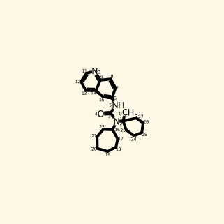 CC1(N(C(=O)Nc2ccc3ncccc3c2)C2CCCCCC2)CCCCC1